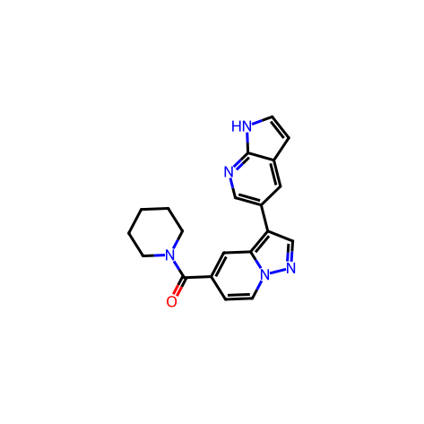 O=C(c1ccn2ncc(-c3cnc4[nH]ccc4c3)c2c1)N1CCCCC1